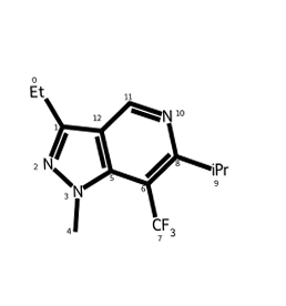 CCc1nn(C)c2c(C(F)(F)F)c(C(C)C)ncc12